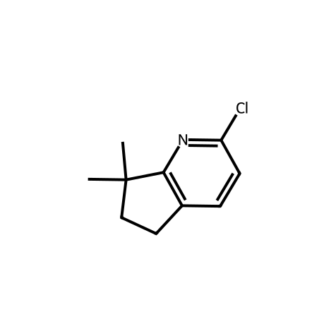 CC1(C)CCc2ccc(Cl)nc21